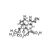 CC(C)(O/N=C(\C(=O)N[C@@H]1C(=O)N(S(=O)(=O)O)[C@@H]1CN1CCN/C1=N\C#N)c1csc(N)n1)C(=O)O